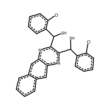 SC(c1ccccc1Cl)c1nc2cc3ccccc3cc2nc1C(S)c1ccccc1Cl